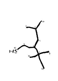 CC(C)CC(CS)C(C)(C)C